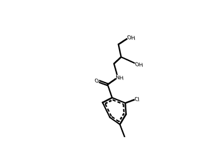 Cc1ccc(C(=O)NCC(O)CO)c(Cl)c1